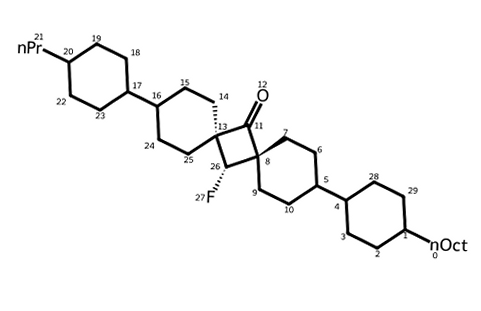 CCCCCCCCC1CCC(C2CC[C@]3(CC2)C(=O)[C@@]2(CCC(C4CCC(CCC)CC4)CC2)[C@H]3F)CC1